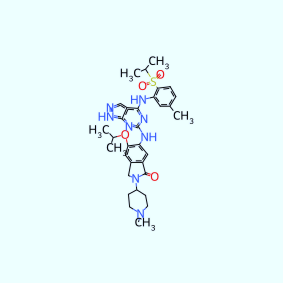 Cc1ccc(S(=O)(=O)C(C)C)c(Nc2nc(Nc3cc4c(cc3OC(C)C)CN(C3CCN(C)CC3)C4=O)nc3[nH]ncc23)c1